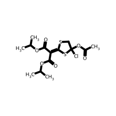 CC(=O)OC1(Cl)CSC(=C(C(=O)OC(C)C)C(=O)OC(C)C)S1